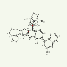 O=S(=O)(N[C@@H]1CCNC1)N1[C@@H]2CC[C@H]1CN(c1nc(OCC34CCCN3CCC4)nc3c(F)c(-c4cc(O)cc5ccccc45)ccc13)C2